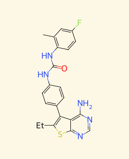 CCc1sc2ncnc(N)c2c1-c1ccc(NC(=O)Nc2ccc(F)cc2C)cc1